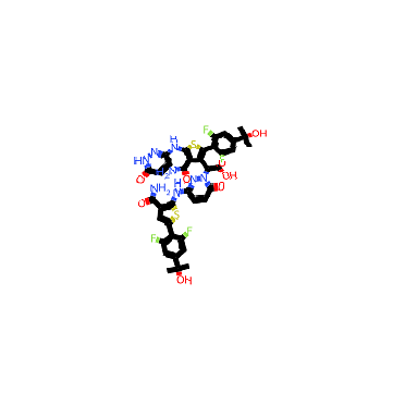 CC(C)(O)c1cc(F)c(-c2cc(C(N)=O)c(Nc3ccc(=O)n(C(C(=O)O)c4c(-c5c(F)cc(C(C)(C)O)cc5F)sc(Nc5ccc(=O)[nH]n5)c4C(N)=O)n3)s2)c(F)c1